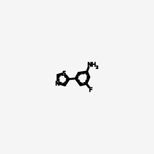 Nc1cc(F)cc(-c2cncs2)c1